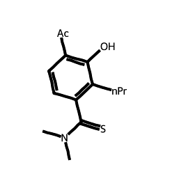 CCCc1c(C(=S)N(C)C)ccc(C(C)=O)c1O